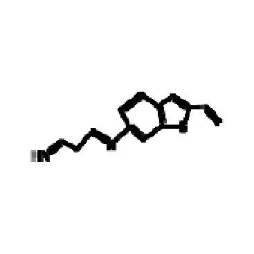 C=Cc1cc2ccc(/N=C/CC=N)cc2s1